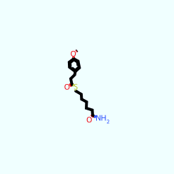 COc1ccc(CCC(=O)SCCCCCCC(N)=O)cc1